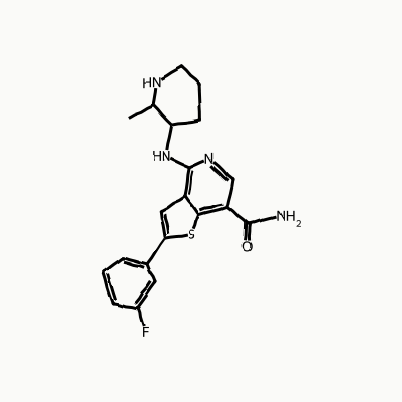 CC1NCCCC1Nc1ncc(C(N)=O)c2sc(-c3cccc(F)c3)cc12